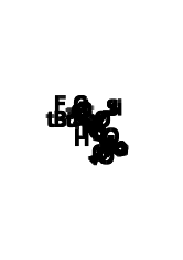 CC(C)(C)[S+]([O-])N[C@@H](COC(C)(C)C(F)(F)F)c1nc2cc([C@@H](COC3CC3)N3C(=O)c4ccccc4C3=O)ccc2n1COCC[Si](C)(C)C